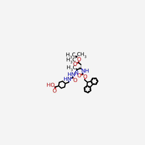 CC(=NNC(=O)NCC1CCC(C(=O)O)CC1)[C@H](CC(=O)OC(C)(C)C)NC(=O)OCC1c2ccccc2-c2ccccc21